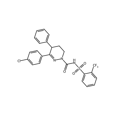 O=C(NS(=O)(=O)c1ccccc1C(F)(F)F)N1CCC(c2ccccc2)C(c2ccc(Cl)cc2)=N1